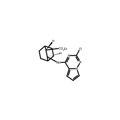 CCOC(=O)[C@H]1C2CCC(CC2)[C@@H]1Nc1nc(Cl)nn2cccc12